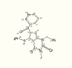 CC(C)Cn1c(=O)n(C)c(=O)c2c(SC(C)C)c(C(=O)c3cccnc3)sc21